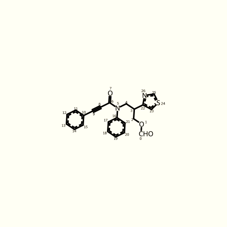 O=COCC(CN(C(=O)C#Cc1ccccc1)c1ccccc1)c1cscn1